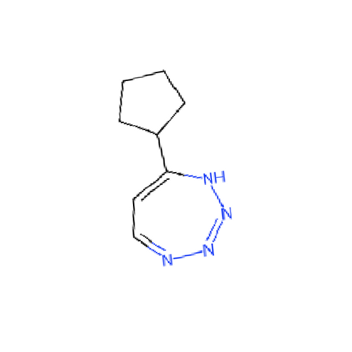 C1=NN=NNC(C2CCCC2)=C1